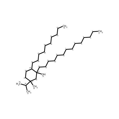 CCCCCCCCCCCCCCC1(O)CC(C)(C(C)C)CCC1CCCCCCCCCC